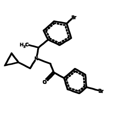 CC(c1ccc(Br)cc1)N(CC(=O)c1ccc(Br)cc1)CC1CC1